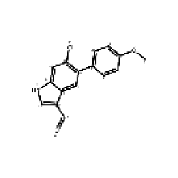 COc1ccc(-c2cc3c(C=O)c[nH]c3cc2Cl)cc1